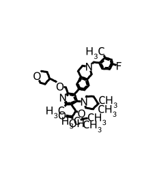 Cc1cc(F)ccc1CN1CCc2cc(-c3c(COCC4CCOCC4)nc(C)c(C(OC(C)(C)C)C(=O)O)c3N3CCC(C)(C)CC3)ccc2C1